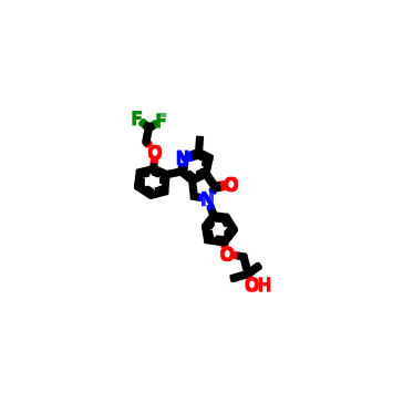 Cc1cc2c(c(-c3ccccc3OCC(F)F)n1)CN(c1ccc(OCC(C)(C)O)cc1)C2=O